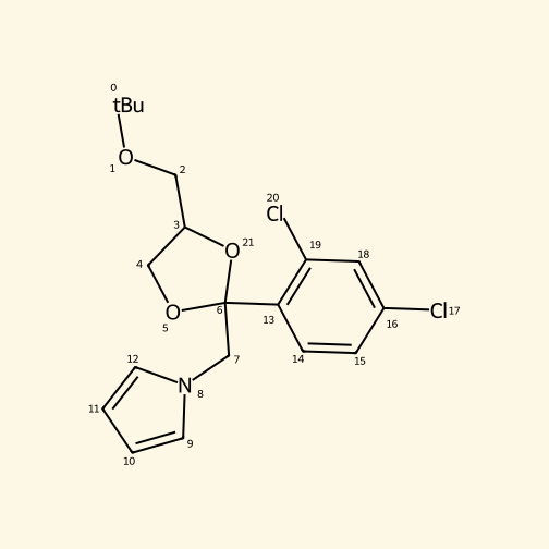 CC(C)(C)OCC1COC(Cn2cccc2)(c2ccc(Cl)cc2Cl)O1